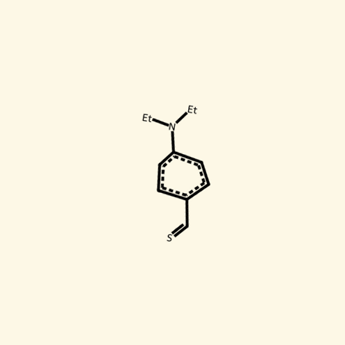 CCN(CC)c1ccc(C=S)cc1